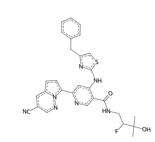 CC(C)(O)C(F)CNC(=O)c1cnc(-c2ccc3cc(C#N)cnn23)cc1Nc1nc(Cc2ccccc2)cs1